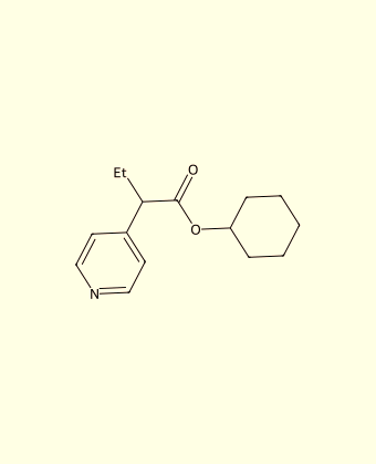 CCC(C(=O)OC1CCCCC1)c1ccncc1